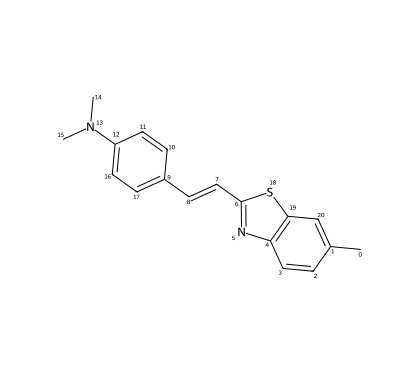 Cc1ccc2nc(/C=C/c3ccc(N(C)C)cc3)sc2c1